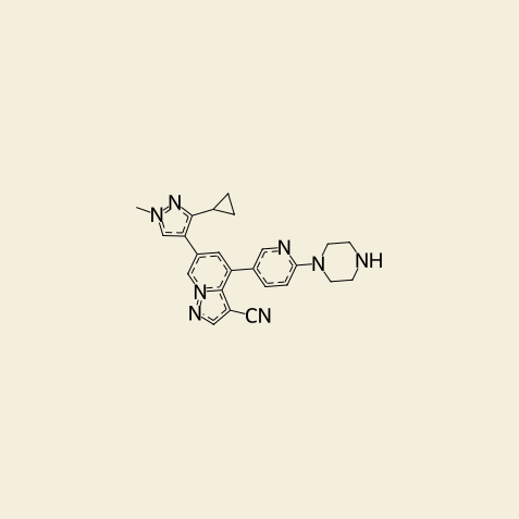 Cn1cc(-c2cc(-c3ccc(N4CCNCC4)nc3)c3c(C#N)cnn3c2)c(C2CC2)n1